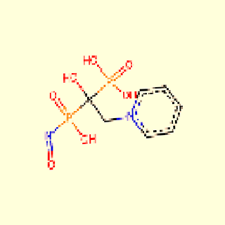 O=NP(=O)(O)C(O)(C[n+]1ccccc1)P(=O)(O)O